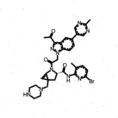 CC(=O)c1nn(CC(=O)N2C3=CC3(CN3CCNCC3)C[C@H]2C(=O)Nc2nc(Br)ccc2C)c2ccc(-c3cnc(C)nc3)cc12